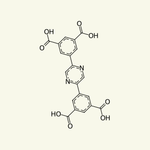 O=C(O)c1cc(C(=O)O)cc(-c2cnc(-c3cc(C(=O)O)cc(C(=O)O)c3)cn2)c1